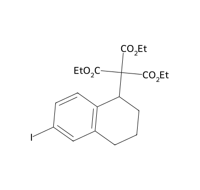 CCOC(=O)C(C(=O)OCC)(C(=O)OCC)C1CCCc2cc(I)ccc21